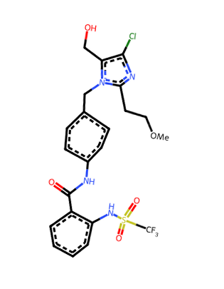 COCCc1nc(Cl)c(CO)n1Cc1ccc(NC(=O)c2ccccc2NS(=O)(=O)C(F)(F)F)cc1